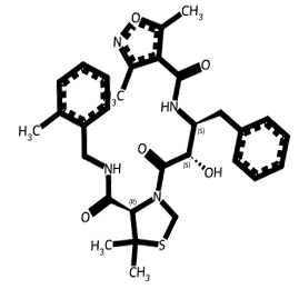 Cc1ccccc1CNC(=O)[C@H]1N(C(=O)[C@@H](O)[C@H](Cc2ccccc2)NC(=O)c2c(C)noc2C)CSC1(C)C